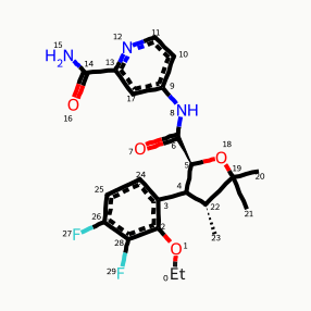 CCOc1c(C2[C@@H](C(=O)Nc3ccnc(C(N)=O)c3)OC(C)(C)[C@@H]2C)ccc(F)c1F